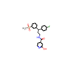 CS(=O)(=O)c1cccc(C(CCNC(=O)c2ccnc(O)c2)c2ccc(F)cc2)c1